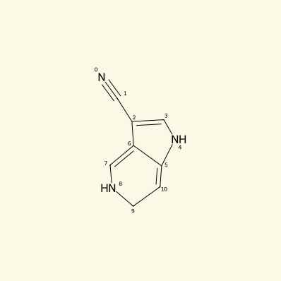 N#Cc1c[nH]c2c1=CNCC=2